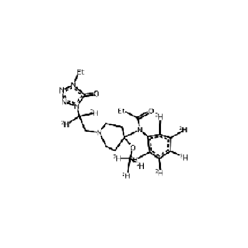 [2H]c1c([2H])c([2H])c(N(C(=O)CC)C2(OC([2H])([2H])[2H])CCN(CC([2H])([2H])n3nnn(CC)c3=O)CC2)c([2H])c1[2H]